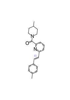 Cc1ccc(/C=C/c2cccc(C(=O)N3CCC(C)CC3)n2)cc1